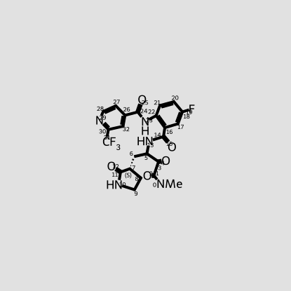 CNC(=O)C(=O)C(C[C@@H]1CCNC1=O)NC(=O)c1cc(F)ccc1NC(=O)c1ccnc(C(F)(F)F)c1